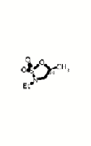 CCN1C[C@H](C)OS1(=O)=O